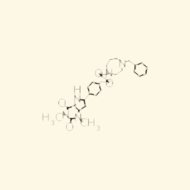 Cn1c(=O)c2[nH]c(-c3ccc(S(=O)(=O)N4CCCN(Cc5ccccc5)CC4)cc3)cc2n(C)c1=O